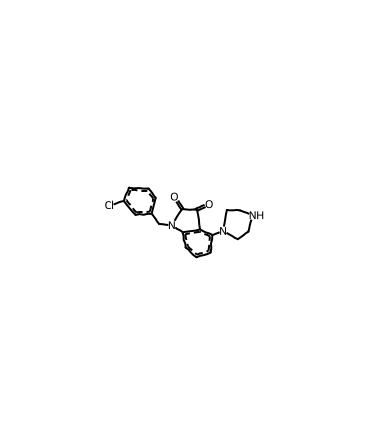 O=C1C(=O)N(Cc2cccc(Cl)c2)c2cccc(N3CCNCC3)c21